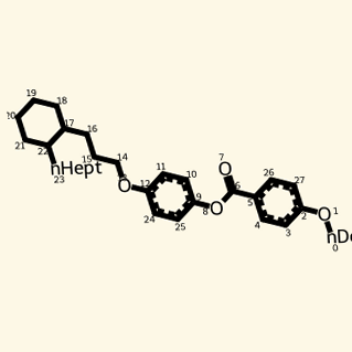 CCCCCCCCCCOc1ccc(C(=O)Oc2ccc(OCCCC3CCCCC3CCCCCCC)cc2)cc1